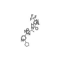 C[C@H](NC(=O)c1cc(C(F)(F)F)nn1C)c1nc(-c2ccnc(C3CCCC3)c2)no1